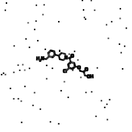 NCc1cccc(C2CCN(C(=O)c3cc(Cl)cc(OCC(=O)CO)c3)CC2)c1